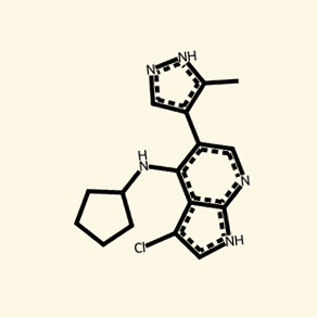 Cc1[nH]ncc1-c1cnc2[nH]cc(Cl)c2c1NC1CCCC1